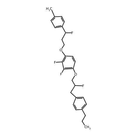 CCCc1ccc(CC(F)COc2ccc(OCCC(F)c3ccc(C)cc3)c(F)c2F)cc1